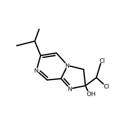 CC(C)C1=CN2CC(O)(C(Cl)Cl)N=C2C=N1